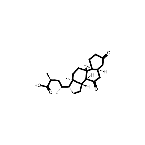 C[C@H](C[C@H](C)C(=O)O)[C@H]1CC[C@H]2[C@@H]3C(=O)C[C@@H]4CC(=O)CC[C@]4(C)[C@H]3CC[C@]12C